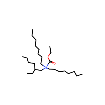 CCCCCCCC[N+](CCCCCCCC)(CC(CC)CCCC)C(=O)OCC